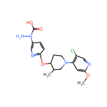 COc1cc(N2CCC(Oc3ccc(N(N)C(=O)O)cn3)C(C)C2)c(Cl)cn1